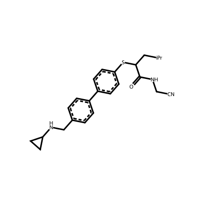 CC(C)CC(Sc1ccc(-c2ccc(CNC3CC3)cc2)cc1)C(=O)NCC#N